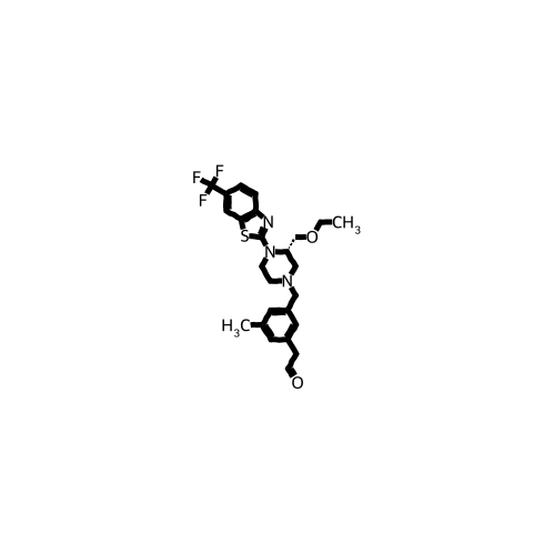 CCOC[C@@H]1CN(Cc2cc(C)cc(CC=O)c2)CCN1c1nc2ccc(C(F)(F)F)cc2s1